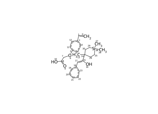 C=Cc1ccc(OCC(=O)O)cc1.CC1(C(O)=Cc2ccccc2)CC[Si](C)(C)CC1